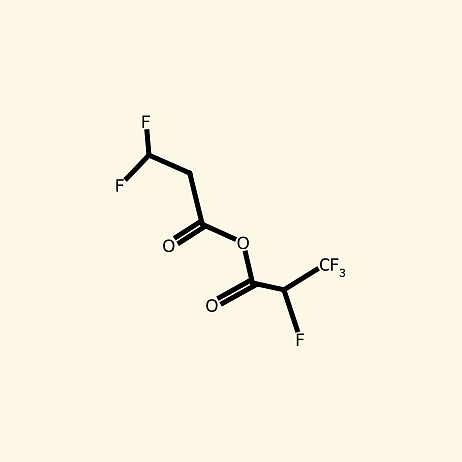 O=C(CC(F)F)OC(=O)C(F)C(F)(F)F